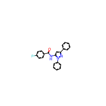 O=C(Nc1cc(-c2ccccc2)nn1-c1ccccc1)c1ccc(F)cc1